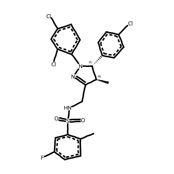 Cc1ccc(F)cc1S(=O)(=O)NCC1=NN(c2ccc(Cl)cc2Cl)[C@H](c2ccc(Cl)cc2)[C@H]1C